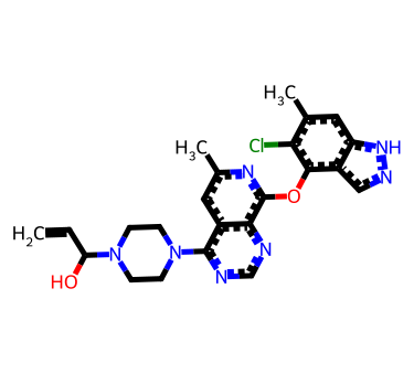 C=CC(O)N1CCN(c2ncnc3c(Oc4c(Cl)c(C)cc5[nH]ncc45)nc(C)cc23)CC1